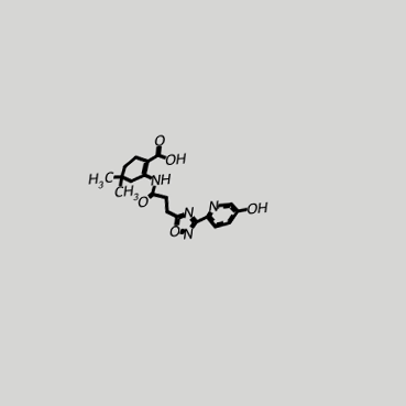 CC1(C)CCC(C(=O)O)=C(NC(=O)CCc2nc(-c3ccc(O)cn3)no2)C1